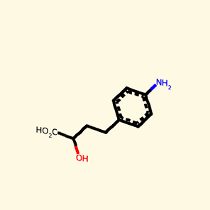 Nc1ccc(CCC(O)C(=O)O)cc1